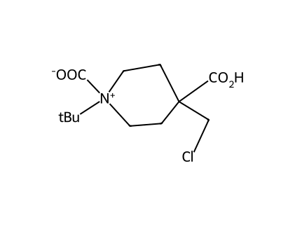 CC(C)(C)[N+]1(C(=O)[O-])CCC(CCl)(C(=O)O)CC1